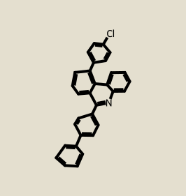 Clc1ccc(-c2cccc3c(-c4ccc(-c5ccccc5)cc4)nc4ccccc4c23)cc1